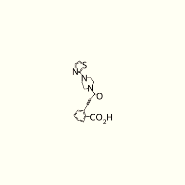 O=C(O)c1ccccc1C#CC(=O)N1CCN(c2nccs2)CC1